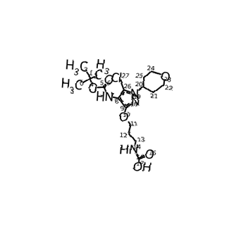 CC(C)(C)OC(=O)Nc1c(OCCCNC(=O)O)nn(C2CCOCC2)c1Cl